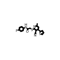 Cc1cc(-c2cccs2)c(C#N)c(SCC(=O)Nc2ccc(F)cc2)n1